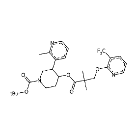 Cc1ncccc1C1CN(C(=O)OC(C)(C)C)CCC1OC(=O)C(C)(C)COc1ncccc1C(F)(F)F